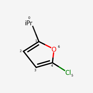 CC(C)c1ccc(Cl)o1